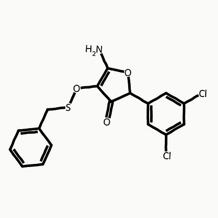 NC1=C(OSCc2ccccc2)C(=O)C(c2cc(Cl)cc(Cl)c2)O1